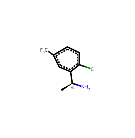 C[C@H](N)c1cc(C(F)(F)F)ccc1Cl